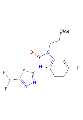 COCCn1c(=O)n(-c2nnc(C(F)F)s2)c2ccc(F)cc21